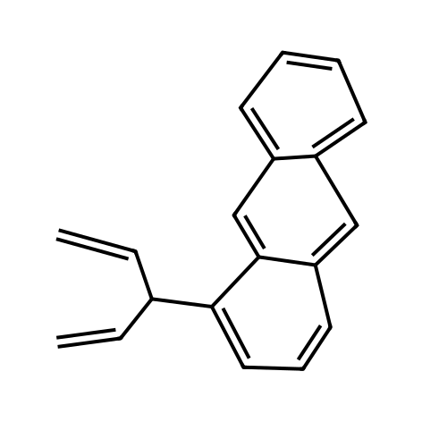 C=CC(C=C)c1cccc2cc3ccccc3cc12